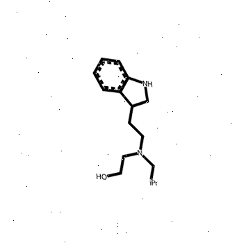 CC(C)CN(CCO)CCC1CNc2ccccc21